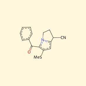 CSc1cc2n(c1C(=O)c1ccccc1)CCC2C#N